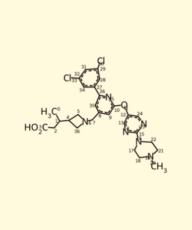 CC(CC(=O)O)C1CN(Cc2cc(Oc3cnc(N4CCN(C)CC4)nc3)nc(-c3cc(Cl)cc(Cl)c3)c2)C1